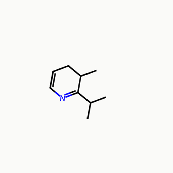 CC(C)C1=NC=CCC1C